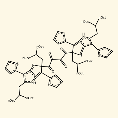 CCCCCCCCCCC(CCCCCCCC)Cc1[nH]c2c(c1-c1cccs1)=NC(CC(CCCCCCCC)CCCCCCCCCC)(C(=O)C(=O)C(=O)C(=O)C1(CC(CCCCCCCC)CCCCCCCCCC)N=c3c(-c4cccs4)c(CC(CCCCCCCC)CCCCCCCCCC)[nH]c3=C1c1cccs1)C=2c1cccs1